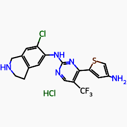 Cl.Nc1csc(-c2nc(Nc3cc4c(cc3Cl)CNCC4)ncc2C(F)(F)F)c1